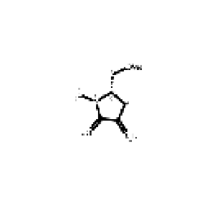 C=C1C[C@@H](COC)N(C)C1=O